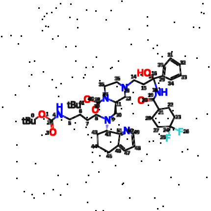 CC(C)(C)OC(=O)NCCCCN(C[C@@H]1CN(CCC(O)(NC(=O)C2CCC(F)(F)CC2)c2ccccc2)CCN1C(=O)OC(C)(C)C)[C@H]1CCCc2cccnc21